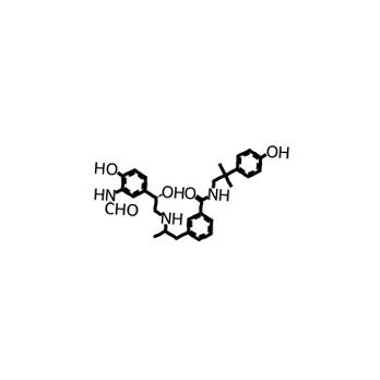 CC(Cc1cccc(C(=O)NCC(C)(C)c2ccc(O)cc2)c1)NC[C@@H](O)c1ccc(O)c(NC=O)c1